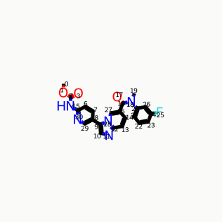 COC(=O)Nc1ccc(-c2cnc3ccc(C(=O)N(C)c4cccc(F)c4)cn23)cn1